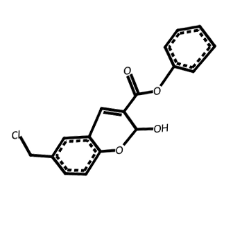 O=C(Oc1ccccc1)C1=Cc2cc(CCl)ccc2OC1O